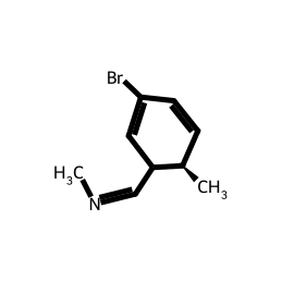 C/N=C\C1C=C(Br)C=C[C@H]1C